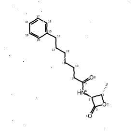 C[C@@H]1OC(=O)[C@H]1NC(=O)CCCCCCc1ccccc1